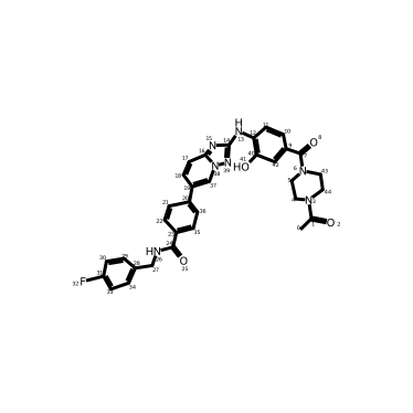 CC(=O)N1CCN(C(=O)c2ccc(Nc3nc4ccc(-c5ccc(C(=O)NCc6ccc(F)cc6)cc5)cn4n3)c(O)c2)CC1